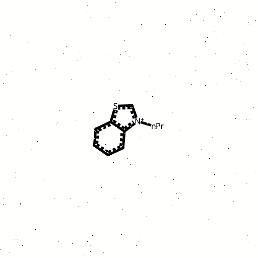 CCC[n+]1csc2ccccc21